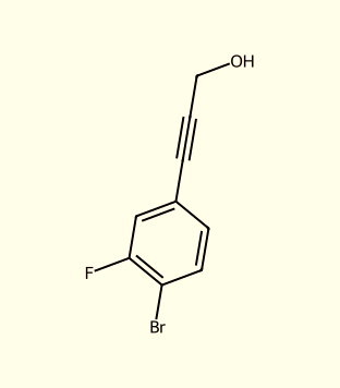 OCC#Cc1ccc(Br)c(F)c1